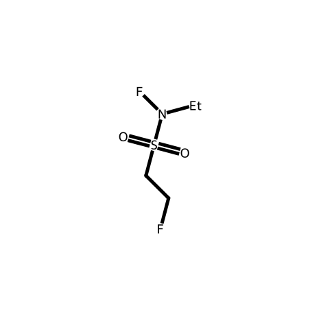 CCN(F)S(=O)(=O)CCF